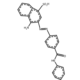 Nc1c(N=Nc2ccc(C(=O)Nc3ccccc3)cc2)cc(S(=O)(=O)O)c2ccccc12